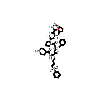 O=C(N[C@@H](CC/C=C/S(=O)(=O)c1ccccc1)C(=O)N[C@@H](Cc1ccccc1)C(=O)N1CCC[C@H]1C(=O)N[C@@H](CC1CCCC1)C(=O)c1nnn[nH]1)C1CCNCC1